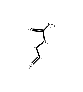 NC(=O)OC[C]=O